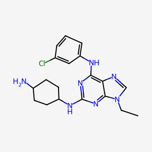 CCn1cnc2c(Nc3cccc(Cl)c3)nc(NC3CCC(N)CC3)nc21